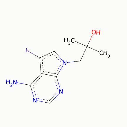 CC(C)(O)Cn1cc(I)c2c(N)ncnc21